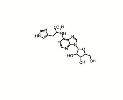 O=C(O)[C@H](Cc1c[nH]cn1)Nc1ncnc2c1ncn2C1OC(CO)C(O)C1O